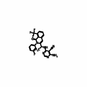 C[C@H](Nc1ncnc(N)c1C#N)c1cc2cccc(C(F)(F)F)c2c(=O)n1-c1cccc(F)c1